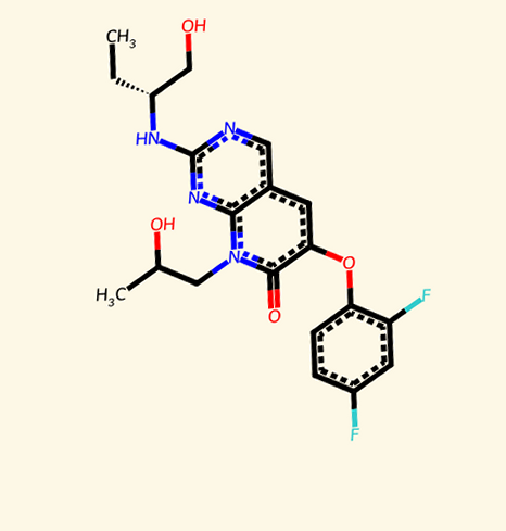 CC[C@H](CO)Nc1ncc2cc(Oc3ccc(F)cc3F)c(=O)n(CC(C)O)c2n1